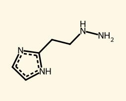 NNCCc1ncc[nH]1